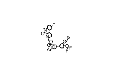 CC(=O)N1CC(c2ccc(OC(F)F)c(OCC3CC3)c2)C[C@@H]1C(=O)OCc1cccc(C(=O)N(C)c2ccc(F)cc2)n1